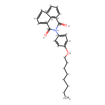 CCCCCCCCOc1ccc(N2C(=O)c3cccc4cccc(c34)C2=O)cc1